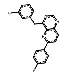 Fc1ccc(-c2ccc3ncnc(Cc4cccc(Cl)c4)c3n2)cc1